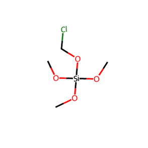 CO[Si](OC)(OC)OCCl